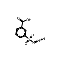 [N-]=[N+]=NS(=O)(=O)c1cccc(C(=O)O)c1